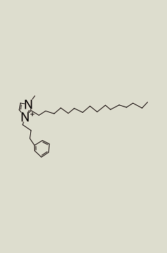 CCCCCCCCCCCCCCCCc1n(C)cc[n+]1CCCc1ccccc1